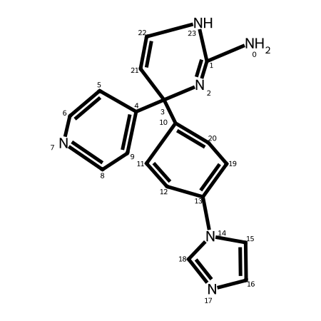 NC1=NC(c2ccncc2)(c2ccc(-n3ccnc3)cc2)C=CN1